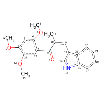 COc1cc(OC)c(C(=O)C(C)=Cc2c[nH]c3ccccc23)cc1OC